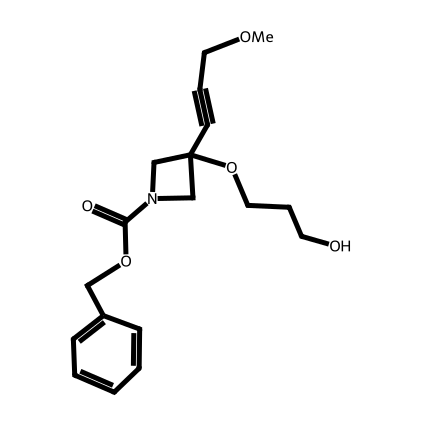 COCC#CC1(OCCCO)CN(C(=O)OCc2ccccc2)C1